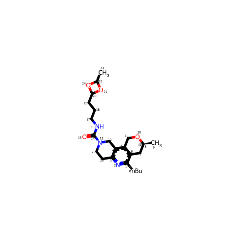 CCCCc1nc2c(c3c1C[C@H](C)OC3)CN(C(=O)NCCCC1OC(C)O1)CC2